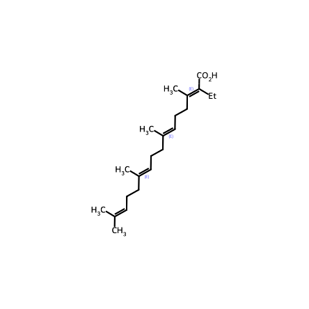 CC/C(C(=O)O)=C(/C)CC/C=C(\C)CC/C=C(\C)CCC=C(C)C